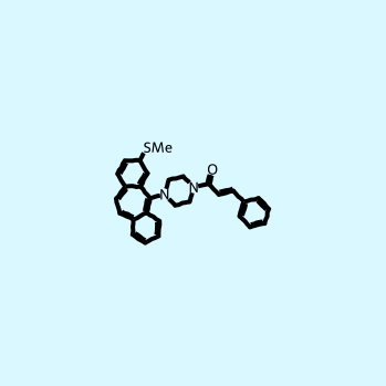 CSC1C=CC2=CC=c3ccccc3=C(N3CCN(C(=O)C=Cc4ccccc4)CC3)C2=C1